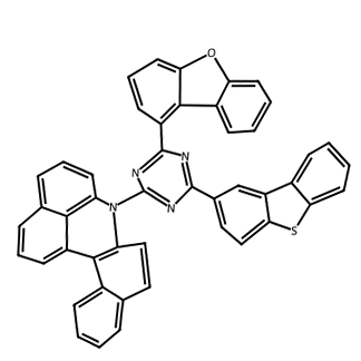 c1ccc2c3c(ccc2c1)N(c1nc(-c2ccc4sc5ccccc5c4c2)nc(-c2cccc4oc5ccccc5c24)n1)c1cccc2cccc-3c12